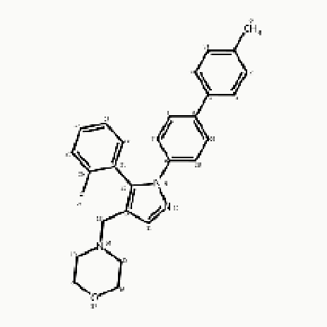 Cc1ccc(-c2ccc(-n3ncc(CN4CCOCC4)c3-c3ccccc3F)cc2)cc1